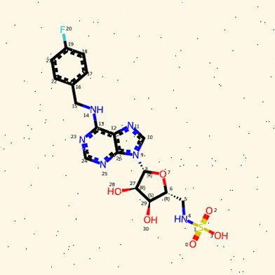 O=S(=O)(O)NC[C@H]1O[C@@H](n2cnc3c(NCc4ccc(F)cc4)ncnc32)[C@H](O)[C@@H]1O